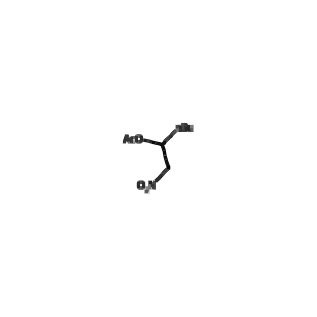 CCCCC(C[N+](=O)[O-])OC(C)=O